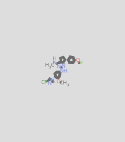 CNc1nc(Nc2ccc(-n3cnc(Cl)c3)c(OC)c2)nc2c1CC[C@@H]2c1ccc(OCF)cc1